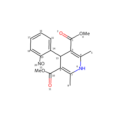 COC(=O)C1=C(C)NC(C)=C(C(=O)OC)C1c1ccccc1N=O